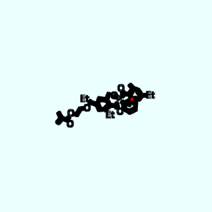 C=C(C)C(=O)OCCOC(CC)c1cc(C)c(C(=O)P(=O)(C(=O)c2c(C)cc(CC)cc2C)c2ccccc2)c(CC)c1